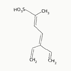 C=CC(C=C)=C/C=C(\C)S(=O)(=O)O